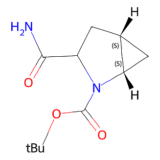 CC(C)(C)OC(=O)N1C(C(N)=O)C[C@@H]2C[C@@H]21